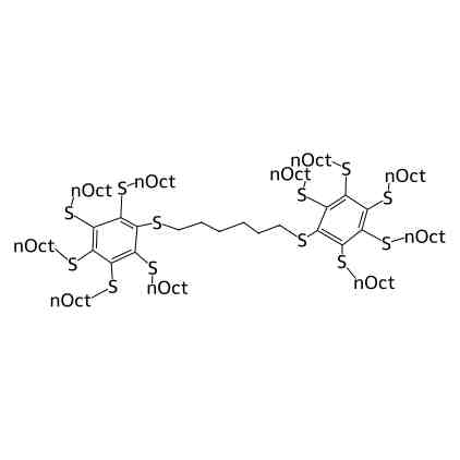 CCCCCCCCSc1c(SCCCCCCCC)c(SCCCCCCCC)c(SCCCCCCSc2c(SCCCCCCCC)c(SCCCCCCCC)c(SCCCCCCCC)c(SCCCCCCCC)c2SCCCCCCCC)c(SCCCCCCCC)c1SCCCCCCCC